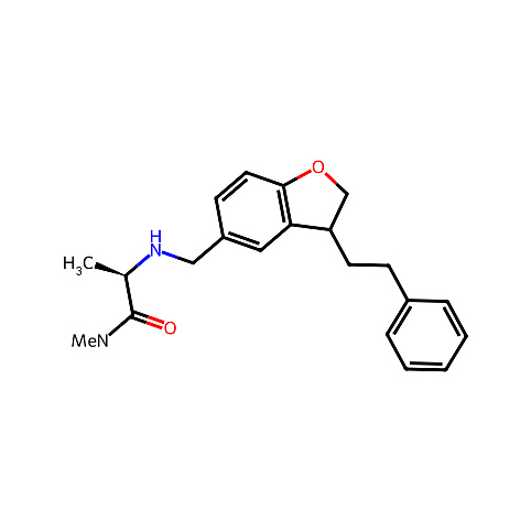 CNC(=O)[C@@H](C)NCc1ccc2c(c1)C(CCc1ccccc1)CO2